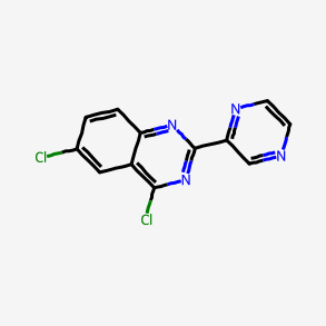 Clc1ccc2nc(-c3cnccn3)nc(Cl)c2c1